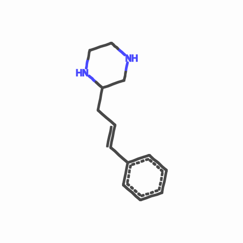 C(=C\c1ccccc1)/CC1CNCCN1